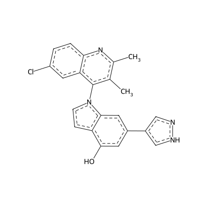 Cc1nc2ccc(Cl)cc2c(-n2ccc3c(O)cc(-c4cn[nH]c4)cc32)c1C